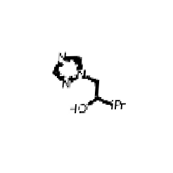 CC(C)C(O)Cn1cncn1